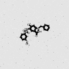 O=c1[nH]n(Cc2ccccc2)c2cc(Cl)c(NS(=O)(=O)c3cccc(OC(F)(F)F)c3)cc12